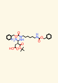 CC(C)(C)OC(=O)[C@@H](CC(=O)O)C(N)NN(CCCCCCNC(=O)OCc1ccccc1)C(=O)OCc1ccccc1